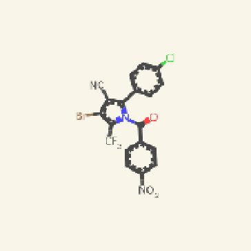 N#Cc1c(Br)c(C(F)(F)F)n(C(=O)c2ccc([N+](=O)[O-])cc2)c1-c1ccc(Cl)cc1